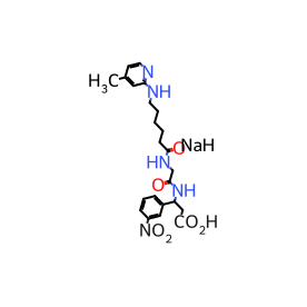 Cc1ccnc(NCCCCCC(=O)NCC(=O)NC(CC(=O)O)c2cccc([N+](=O)[O-])c2)c1.[NaH]